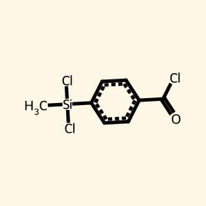 C[Si](Cl)(Cl)c1ccc(C(=O)Cl)cc1